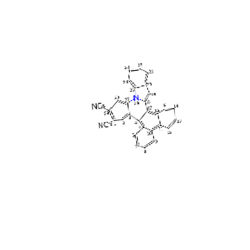 N#Cc1cc2c3c4ccccc4c4ccccc4c3c3cc4ccccc4n3c2cc1C#N